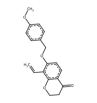 C=Cc1c(OCc2ccc(OC)cc2)ccc2c1OCCC2=O